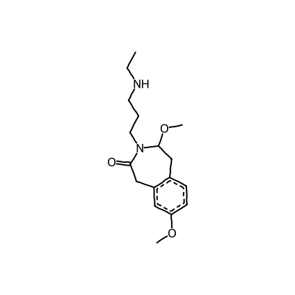 CCNCCCN1C(=O)Cc2cc(OC)ccc2CC1OC